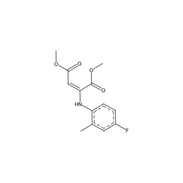 COC(=O)/C=C(/Nc1ccc(F)cc1C)C(=O)OC